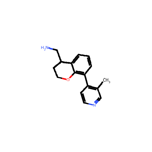 Cc1cnccc1-c1cccc2c1OCCC2CN